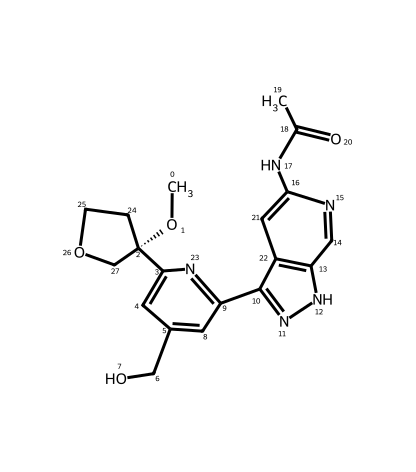 CO[C@@]1(c2cc(CO)cc(-c3n[nH]c4cnc(NC(C)=O)cc34)n2)CCOC1